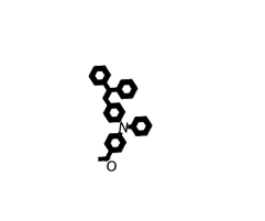 CC(=O)c1ccc(N(c2ccccc2)c2ccc(C=C(c3ccccc3)c3ccccc3)cc2)cc1